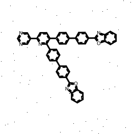 c1ccc2oc(-c3ccc(-c4ccc(-c5ccc(-c6cncnc6)nc5-c5ccc(-c6ccc(-c7nc8ccccc8o7)cc6)cc5)cc4)cc3)nc2c1